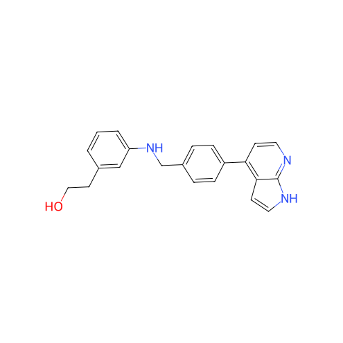 OCCc1cccc(NCc2ccc(-c3ccnc4[nH]ccc34)cc2)c1